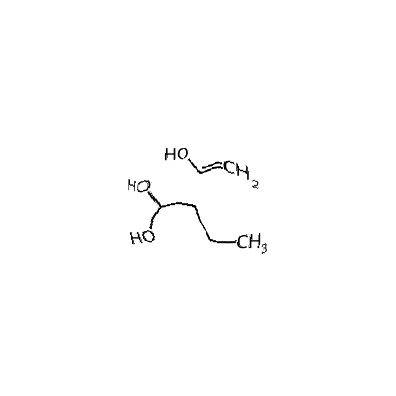 C=CO.CCCC(O)O